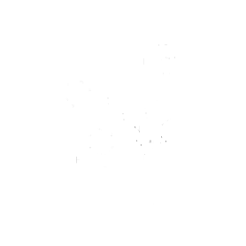 O=CC1=C(c2cc(F)c(F)c3c2Cc2ccccc2SC3)N2N[C@@H]3CC(OC4CC4)CCN3C(=O)C2=C(OCOP(=O)(O)O)C1